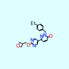 CCc1ccc(Cn2nc(-c3cnc(OCC4COC4)nc3)ccc2=O)cc1